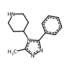 Cc1nnc(-c2ccccc2)n1C1CCNCC1